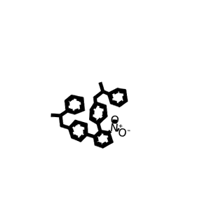 CC(Cc1ccc(-c2cccc([N+](=O)[O-])c2-c2ccc(CC(C)c3ccccc3)cc2)cc1)c1ccccc1